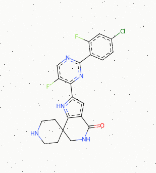 O=C1NCC2(CCNCC2)c2[nH]c(-c3nc(-c4ccc(Cl)cc4F)ncc3F)cc21